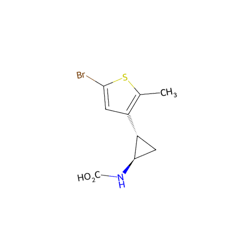 Cc1sc(Br)cc1[C@@H]1C[C@H]1NC(=O)O